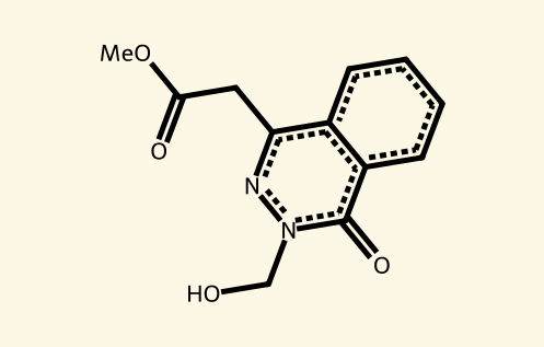 COC(=O)Cc1nn(CO)c(=O)c2ccccc12